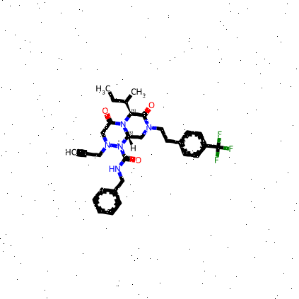 C#CCN1CC(=O)N2[C@@H](C(C)CC)C(=O)N(CCc3ccc(C(F)(F)F)cc3)C[C@@H]2N1C(=O)NCc1ccccc1